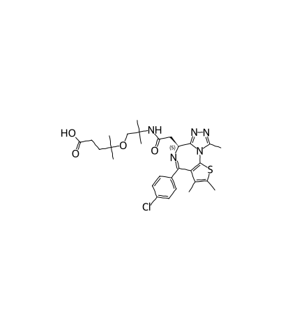 Cc1sc2c(c1C)C(c1ccc(Cl)cc1)=N[C@@H](CC(=O)NC(C)(C)COC(C)(C)CCC(=O)O)c1nnc(C)n1-2